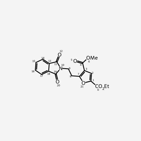 CCOC(=O)c1cc(C(=O)OC)c(CCN2C(=O)c3ccccc3C2=O)o1